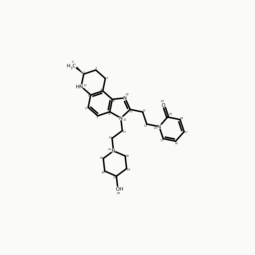 C[C@H]1CCc2c(ccc3c2nc(CCn2ccccc2=O)n3CCN2CCC(O)CC2)N1